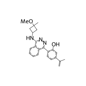 C=C(C)c1ccc(-c2nnc(NC3CC(C)(OC)C3)c3ccccc23)c(O)c1